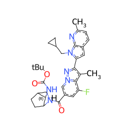 Cc1ccc2cc(-c3nn4cc(C(=O)N5CC6CCC5[C@@H]6NC(=O)OC(C)(C)C)cc(F)c4c3C)n(CC3CC3)c2n1